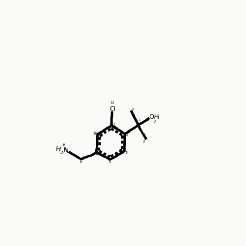 CC(C)(O)c1ccc(CN)cc1Cl